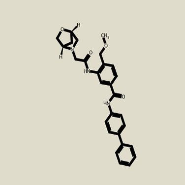 COCc1ccc(C(=O)Nc2ccc(-c3ccccc3)cc2)cc1NC(=O)CN1C[C@@H]2C[C@H]1CO2